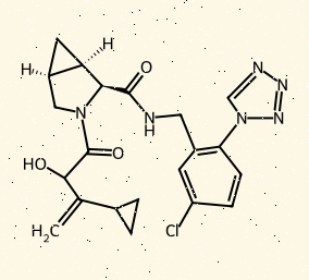 C=C(C1CC1)C(O)C(=O)N1C[C@H]2C[C@H]2[C@H]1C(=O)NCc1cc(Cl)ccc1-n1cnnn1